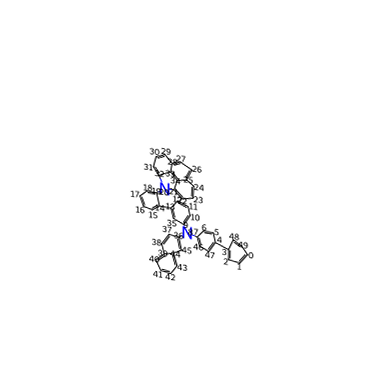 c1ccc(-c2ccc(N(c3cccc(-c4ccccc4-n4c5cccc6ccc7cccc4c7c65)c3)c3ccc4ccccc4c3)cc2)cc1